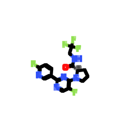 O=C(NCC(F)(F)F)[C@@H]1CCCN1c1nc(-c2ccc(F)nc2)ncc1F